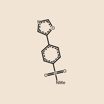 CNS(=O)(=O)c1ccc(-c2cnco2)cc1